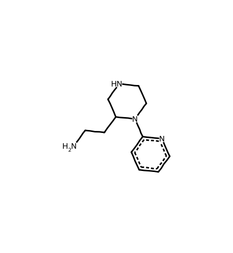 NCCC1CNCCN1c1ccccn1